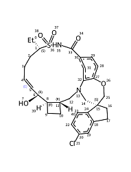 CC[C@H]1CC/C=C/[C@H](O)[C@@H]2CC[C@H]2CN2C[C@@]3(CCc4cc(Cl)ccc43)COc3ccc(cc32)C(=O)NS1(=O)=O